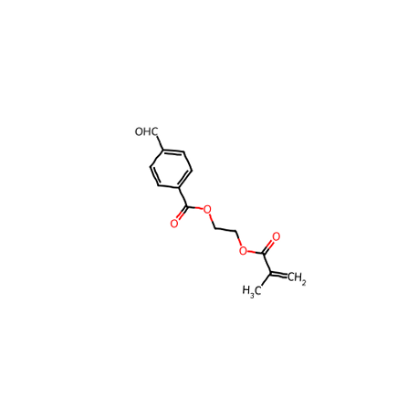 C=C(C)C(=O)OCCOC(=O)c1ccc(C=O)cc1